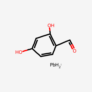 O=Cc1ccc(O)cc1O.[PbH2]